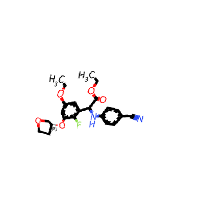 CCOC(=O)C(Nc1ccc(C#N)cc1)c1cc(OCC)cc(O[C@@H]2CCOC2)c1F